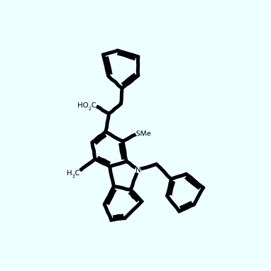 CSc1c(C(Cc2ccccc2)C(=O)O)cc(C)c2c3ccccc3n(Cc3ccccc3)c12